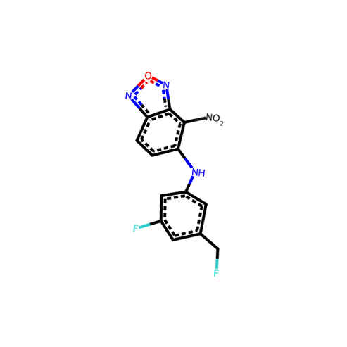 O=[N+]([O-])c1c(Nc2cc(F)cc(CF)c2)ccc2nonc12